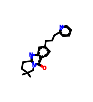 CC1(C)CCc2nc3cc(CCCc4ccccn4)ccc3c(=O)n2C1